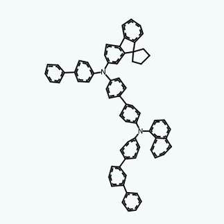 c1ccc(-c2ccc(N(c3ccc(-c4ccc(N(c5ccc(-c6cccc(-c7ccccc7)c6)cc5)c5cccc6ccccc56)cc4)cc3)c3ccc4c(c3)C3(CCCC3)c3ccccc3-4)cc2)cc1